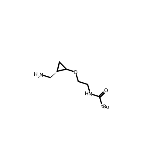 CC(C)(C)C(=O)NCCOC1C[C@H]1CN